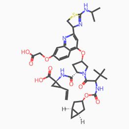 C=CC1C[C@]1(NC(=O)[C@@H]1C[C@@H](Oc2cc(C3CSC(NC(C)C)=N3)nc3cc(OCC(=O)O)ccc23)CN1C(=O)C(NC(=O)O[C@@H]1C[C@@H]2C[C@@H]2C1)C(C)(C)C)C(=O)O